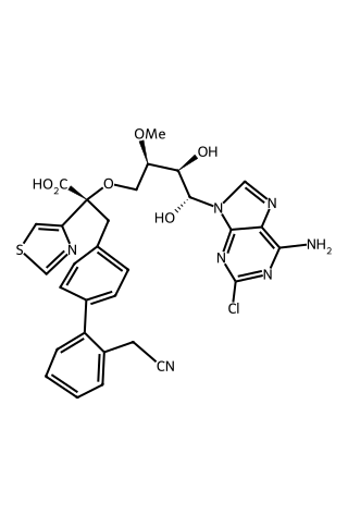 CO[C@H](CO[C@@](Cc1ccc(-c2ccccc2CC#N)cc1)(C(=O)O)c1cscn1)[C@@H](O)[C@@H](O)n1cnc2c(N)nc(Cl)nc21